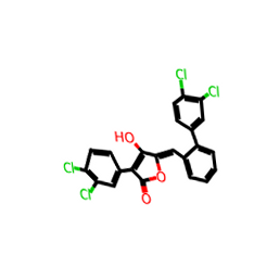 O=C1OC(=Cc2ccccc2-c2ccc(Cl)c(Cl)c2)C(O)=C1c1ccc(Cl)c(Cl)c1